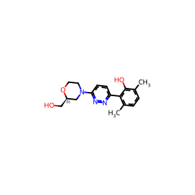 Cc1ccc(C)c(-c2ccc(N3CCO[C@H](CO)C3)nn2)c1O